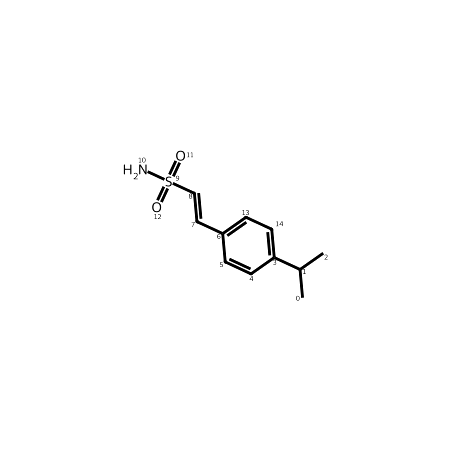 CC(C)c1ccc(/C=C/S(N)(=O)=O)cc1